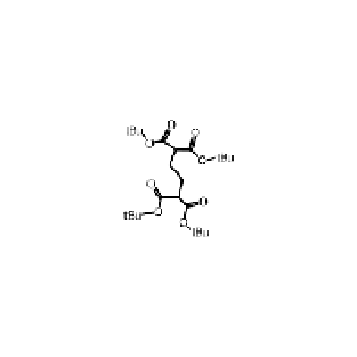 CC(C)(C)OC(=O)C(CCC(C(=O)OC(C)(C)C)C(=O)OC(C)(C)C)C(=O)OC(C)(C)C